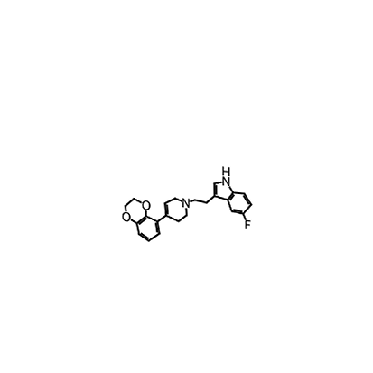 Fc1ccc2[nH]cc(CCN3CC=C(c4cccc5c4OCCO5)CC3)c2c1